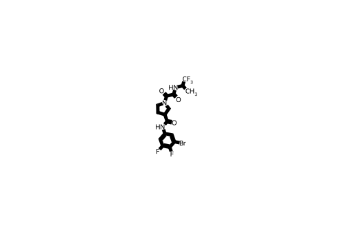 CC(NC(=O)C(=O)N1CCC(C(=O)Nc2cc(F)c(F)c(Br)c2)C1)C(F)(F)F